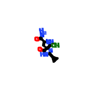 Cl.NC(=O)[C@@H]1C[C@]2(CN1)N=C(C1CC1)NC2=O